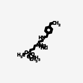 C=Cc1ccc(CNCCNCCC[Si](OC)(OC)OC)cc1.Cl.Cl